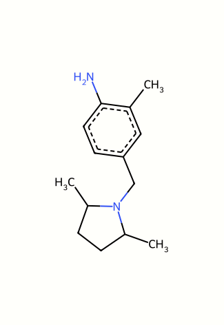 Cc1cc(CN2C(C)CCC2C)ccc1N